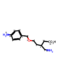 NCC(CCOCc1ccc(N)cc1)CC(=O)O